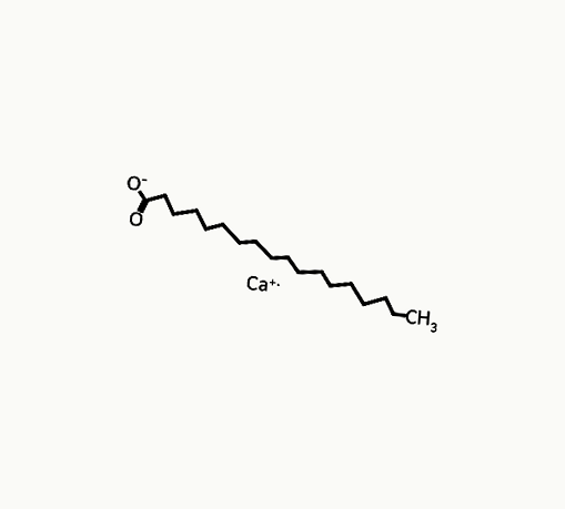 CCCCCCCCCCCCCCCCCC(=O)[O-].[Ca+]